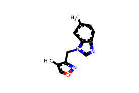 Cc1ccc2ncn(Cc3nocc3C)c2c1